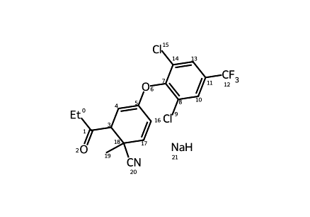 CCC(=O)C1C=C(Oc2c(Cl)cc(C(F)(F)F)cc2Cl)C=CC1(C)C#N.[NaH]